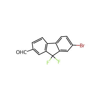 O=Cc1ccc2c(c1)C(F)(F)c1cc(Br)ccc1-2